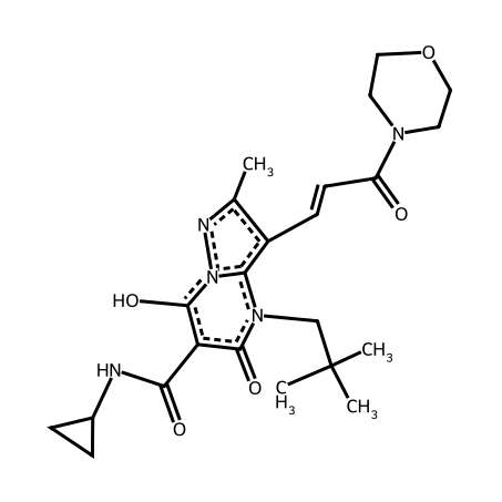 Cc1nn2c(O)c(C(=O)NC3CC3)c(=O)n(CC(C)(C)C)c2c1C=CC(=O)N1CCOCC1